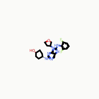 O[C@H]1CC[C@H](Nc2ncc3nc(Nc4c(F)cccc4F)n(C4CCOC4)c3n2)CC1